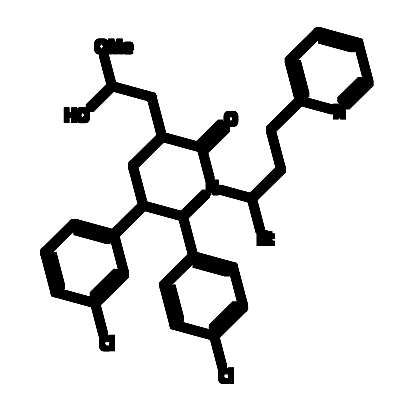 CCC(CCc1ccccn1)N1C(=O)C(CC(O)OC)CC(c2cccc(Cl)c2)C1c1ccc(Cl)cc1